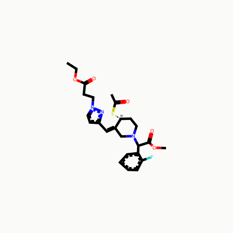 CCOC(=O)CCn1ccc(C=C2CN(C(C(=O)OC)c3ccccc3F)CC[C@H]2SC(C)=O)n1